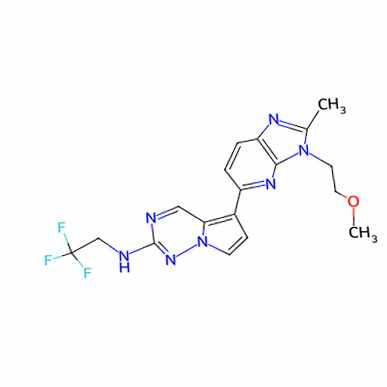 COCCn1c(C)nc2ccc(-c3ccn4nc(NCC(F)(F)F)ncc34)nc21